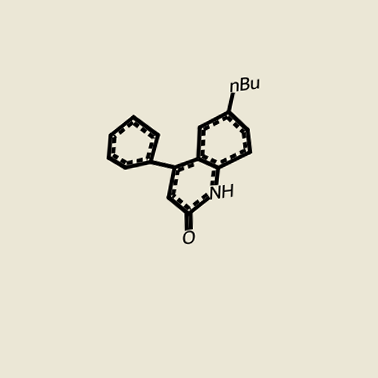 CCCCc1ccc2[nH]c(=O)cc(-c3ccccc3)c2c1